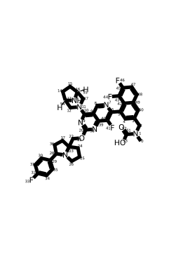 CN(Cc1cc(-c2ncc3c(N4C[C@H]5CC[C@@H](C4)N5)nc(OCC45CCCN4C(c4ccc(F)cc4)CC5)nc3c2F)c2c(F)c(F)ccc2c1)C(=O)O